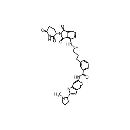 CN1CCC[C@@H]1c1cc2cnc(NC(=O)c3cccc(CCCNNc4cccc5c4C(=O)N(C4CCC(=O)NC4=O)C5=O)c3)cc2[nH]1